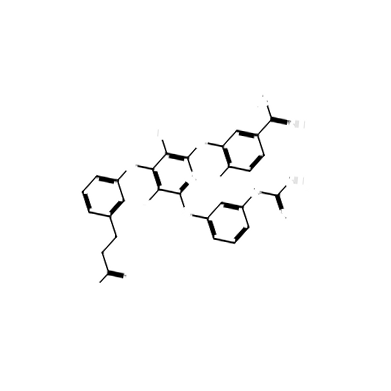 N=C(N)Nc1cccc(Oc2nc(Oc3cc(C(=N)N)ccc3O)c(F)c(Oc3cccc(CCC(=O)O)c3)c2F)c1